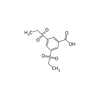 CCS(=O)(=O)c1cc(C(=O)O)cc(S(=O)(=O)CC)c1